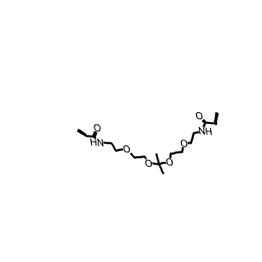 C=CC(=O)NCCOCCOC(C)(C)OCCOCCNC(=O)C=C